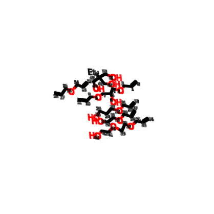 C=CCOCC(O)COCC=C.C=CCOCC=C.C=CCOCCCO.C=CCOCCO.C=CCOCCOCCO.CCC(CO)(CO)CO